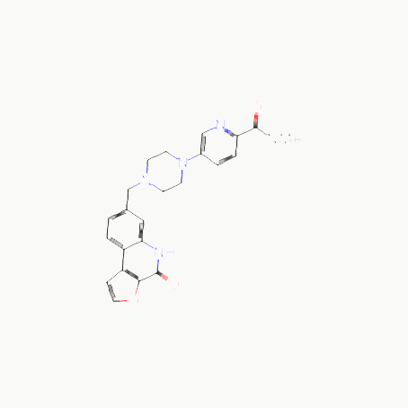 CNC(=O)c1ccc(N2CCN(Cc3ccc4c(c3)[nH]c(=O)c3occc34)CC2)cn1